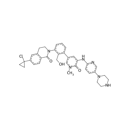 Cn1cc(-c2cccc(N3CCc4cc(C5(Cl)CC5)ccc4C3=O)c2CO)cc(Nc2ccc(N3CCNCC3)cn2)c1=O